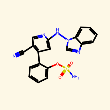 N#Cc1cnc(Nn2cnc3ccccc32)cc1-c1ccccc1OS(N)(=O)=O